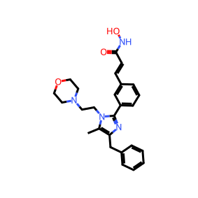 Cc1c(Cc2ccccc2)nc(-c2cccc(C=CC(=O)NO)c2)n1CCN1CCOCC1